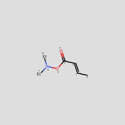 C/C=C/C(=O)ON(CC)CC